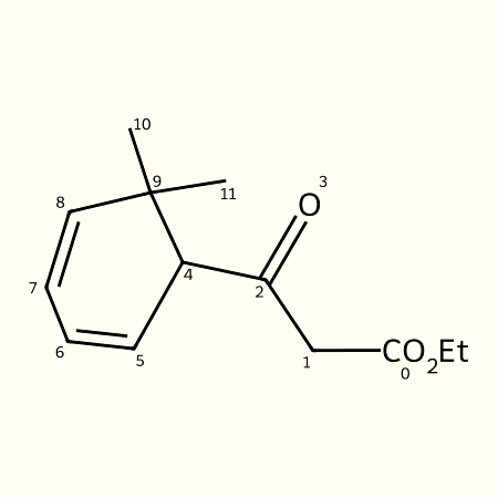 CCOC(=O)CC(=O)C1C=CC=CC1(C)C